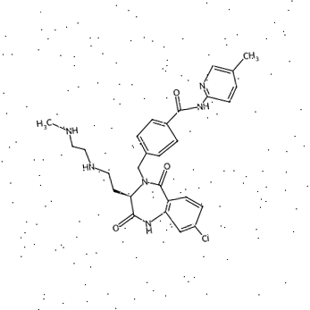 CNCCNCC[C@@H]1C(=O)Nc2cc(Cl)ccc2C(=O)N1Cc1ccc(C(=O)Nc2ccc(C)cn2)cc1